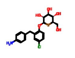 Nc1ccc(Cc2cc(Cl)ccc2O[C@@H]2S[C@H](CO)[C@@H](O)[C@H](O)[C@H]2O)cc1